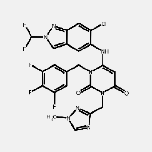 Cn1cnc(Cn2c(=O)cc(Nc3cc4cn(C(F)F)nc4cc3Cl)n(Cc3cc(F)c(F)c(F)c3)c2=O)n1